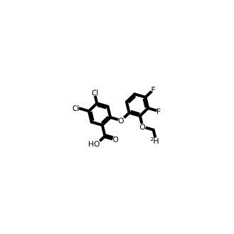 [2H]COc1c(Oc2cc(Cl)c(Cl)cc2C(=O)O)ccc(F)c1F